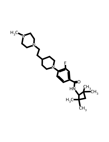 CN1CCN(CCC2CCN(c3ccc(C(=O)NC4C(C)(C)CC4(C)C)cc3F)CC2)CC1